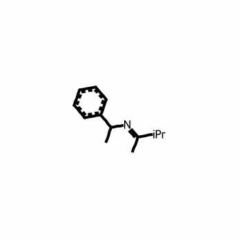 CC(=NC(C)c1ccccc1)C(C)C